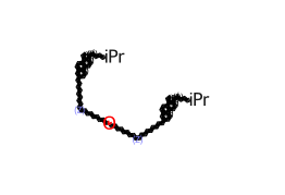 CC(C)CCC[C@@H](C)[C@H]1CCC2C3CC=C4CC(CCCCCCCC/C=C\CCCCCCCCOCCCCCCCC/C=C\CCCCCCCCC5CC[C@@]6(C)C(=CCC7C6CC[C@@]6(C)C7CC[C@@H]6[C@H](C)CCCC(C)C)C5)CC[C@]4(C)C3CC[C@@]21C